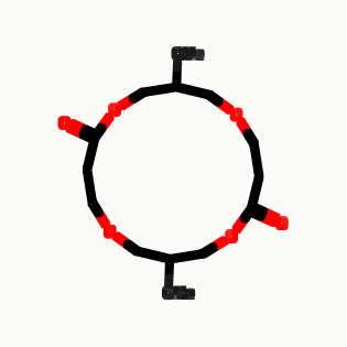 COC1COCCC(=O)OCC(OC)COCCC(=O)OC1